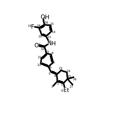 CCC1=C(C)/C(=C/c2ccc(C(=O)Nc3ccc(O)c(F)c3)cc2)CCC1(C)C